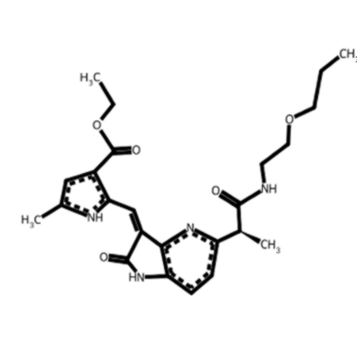 CCCOCCNC(=O)[C@@H](C)c1ccc2c(n1)/C(=C/c1[nH]c(C)cc1C(=O)OCC)C(=O)N2